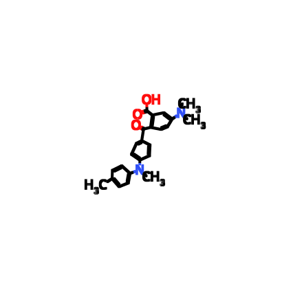 Cc1ccc(N(C)c2ccc(C(=O)c3ccc(N(C)C)cc3C(=O)O)cc2)cc1